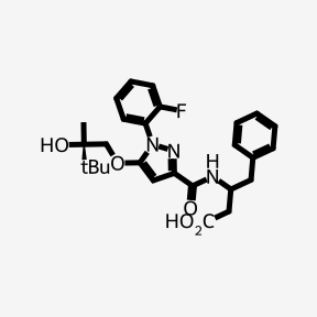 CC(C)(C)[C@](C)(O)COc1cc(C(=O)NC(CC(=O)O)Cc2ccccc2)nn1-c1ccccc1F